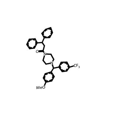 COc1ccc(C(c2ccc(C(F)(F)F)cc2)N2CCN(C(=O)CC(c3ccccc3)c3ccccc3)CC2)cc1